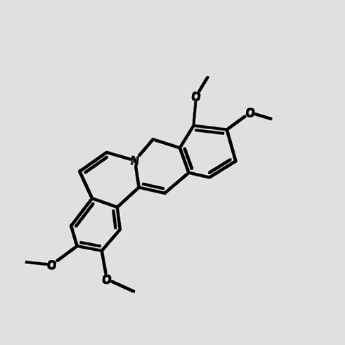 COc1cc2c(cc1OC)C1=Cc3ccc(OC)c(OC)c3CN1C=C2